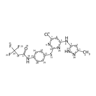 Cc1cc(Nc2cc(Cl)nc(Sc3ccc(NC(=O)CC(F)(F)F)cc3)n2)[nH]n1